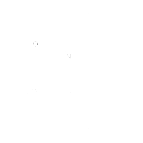 O=C1C(=O)N(c2ccccc2)C1c1ccccc1